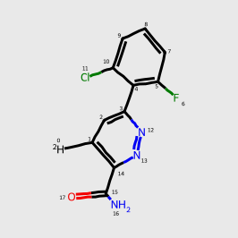 [2H]c1cc(-c2c(F)cccc2Cl)nnc1C(N)=O